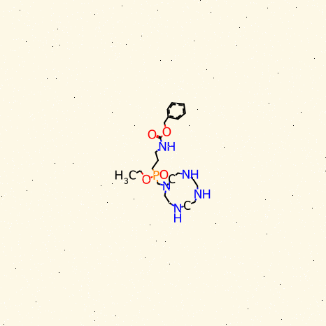 CCOP(=O)(CCCNC(=O)OCc1ccccc1)CN1CCNCCNCCNCC1